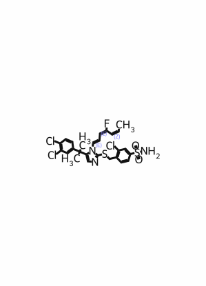 C\C=C/C(F)=C\C=C\n1c(C(C)(C)c2ccc(Cl)c(Cl)c2)cnc1SCc1ccc(S(N)(=O)=O)cc1Cl